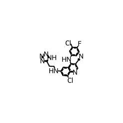 N#Cc1cnc2c(Cl)cc(NCCc3nnn[nH]3)cc2c1Nc1ccc(F)c(Cl)c1